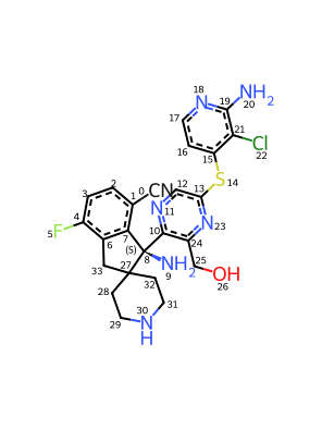 N#Cc1ccc(F)c2c1[C@](N)(c1ncc(Sc3ccnc(N)c3Cl)nc1CO)C1(CCNCC1)C2